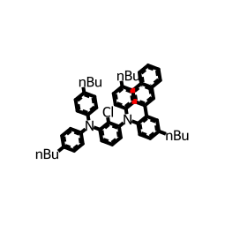 CCCCc1ccc(N(c2ccc(CCCC)cc2)c2cccc(N(c3ccc(CCCC)cc3)c3ccc(CCCC)cc3-c3ccc4ccccc4c3)c2Cl)cc1